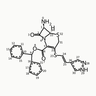 N[C@@H]1C(=O)N2C(C(=O)OC(c3ccccc3)c3ccccc3)=C(S/C=C/c3cn[nH]c3)CS[C@H]12